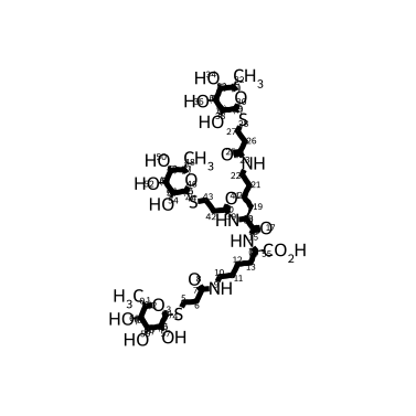 C[C@@H]1O[C@H](SCCC(=O)NCCCC[C@H](NC(=O)[C@H](CCCCNC(=O)CCS[C@H]2O[C@@H](C)[C@@H](O)[C@@H](O)[C@@H]2O)NC(=O)CCS[C@H]2O[C@@H](C)[C@@H](O)[C@@H](O)[C@@H]2O)C(=O)O)[C@@H](O)[C@H](O)[C@@H]1O